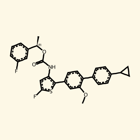 COc1cc(-c2sc(F)cc2NC(=O)O[C@H](C)c2cccc(F)c2)ccc1-c1ccc(C2CC2)cc1